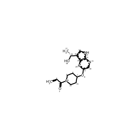 C=CC(=O)N1CCC(Oc2cnc3[nH]cc([C@@H](C)O)c3n2)CC1